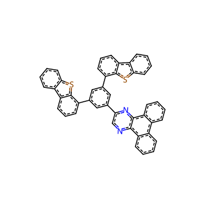 c1ccc2c(c1)sc1c(-c3cc(-c4cnc5c6ccccc6c6ccccc6c5n4)cc(-c4cccc5c4sc4ccccc45)c3)cccc12